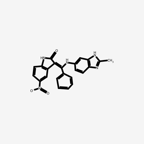 Cc1nc2ccc(NC(=C3C(=O)Nc4ccc([N+](=O)[O-])cc43)c3ccccc3)cc2[nH]1